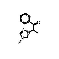 CC(C(=O)c1ccccc1)N1CN(F)C=N1